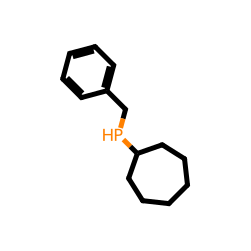 c1ccc(CPC2CCCCCC2)cc1